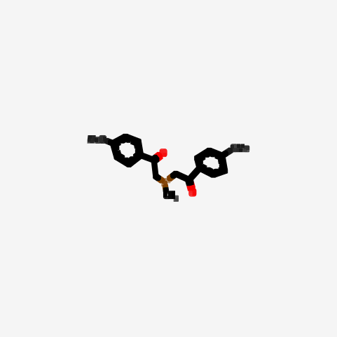 COc1ccc(C(=O)C[S+](C)CC(=O)c2ccc(OC)cc2)cc1